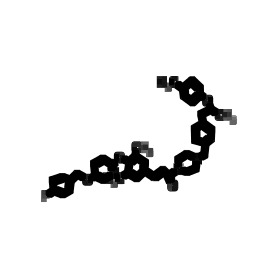 Cc1ccc(OC(C)Cc2ccc(CN3CCN(C(=O)/C=C/c4cc(C)c(Oc5ccc(OCc6ccc(F)cc6)cn5)c(C)c4)CC3)cc2)cc1